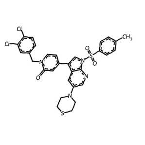 Cc1ccc(S(=O)(=O)n2cc(-c3ccn(Cc4ccc(Cl)c(Cl)c4)c(=O)c3)c3cc(N4CCSCC4)cnc32)cc1